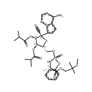 COC(C)(C)COC(=O)[C@H](C)NP(=O)(OC[C@H]1O[C@@](C#N)(c2ccc3c(N)ncnn23)[C@H](OC(=O)C(C)C)[C@@H]1OC(=O)C(C)C)Oc1ccccc1